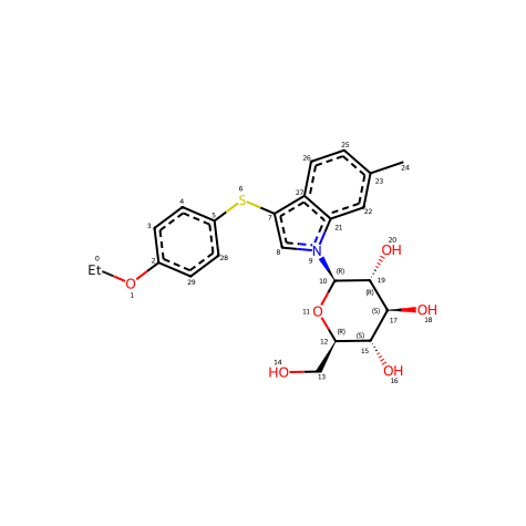 CCOc1ccc(Sc2cn([C@@H]3O[C@H](CO)[C@@H](O)[C@H](O)[C@H]3O)c3cc(C)ccc23)cc1